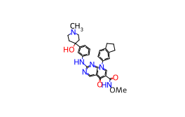 CONC(=O)c1cn(-c2ccc3c(c2)CCC3)c2nc(Nc3cccc(C4(O)CCN(C)CC4)c3)ncc2c1=O